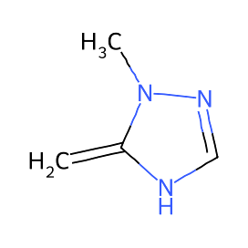 C=C1NC=NN1C